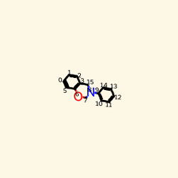 c1ccc2c(c#1)OCN(c1ccccc1)C2